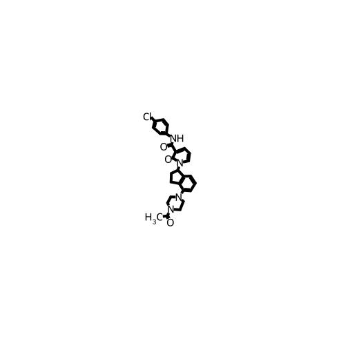 CC(=O)N1CCN(c2cccc3c2CCC3n2cccc(C(=O)Nc3ccc(Cl)cc3)c2=O)CC1